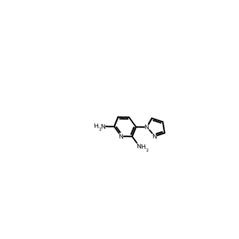 Nc1ccc(-n2cccn2)c(N)n1